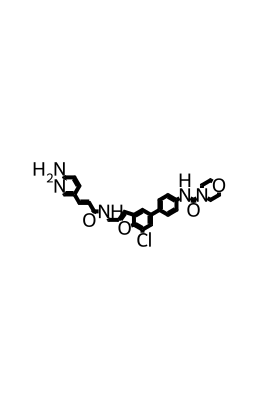 Nc1ccc(C=CC(=O)NCc2cc3cc(-c4ccc(NC(=O)N5CCOCC5)cc4)cc(Cl)c3o2)cn1